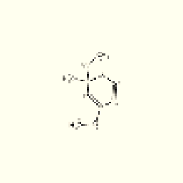 COC1=CC(C)(OC)CC=C1